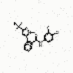 Cn1nc(C(F)(F)F)cc1-c1c(C(=O)Nc2ccc(Cl)c(Cl)c2)c2ccc1o2